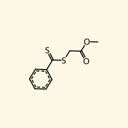 COC(=O)CSC(=S)c1ccccc1